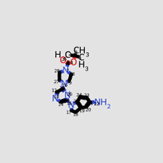 CC(C)(C)OC(=O)N1CCN(c2cncc(N3CCc4cc(N)ccc43)n2)CC1